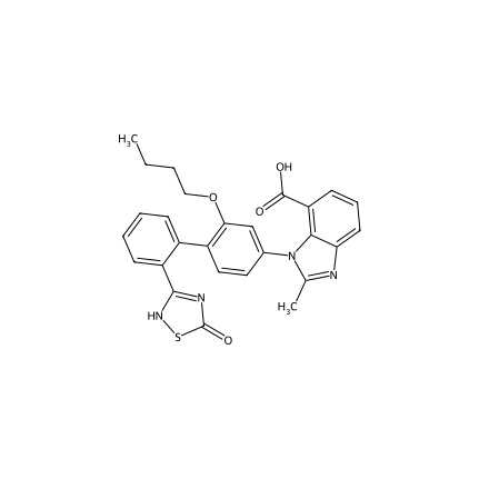 CCCCOc1cc(-n2c(C)nc3cccc(C(=O)O)c32)ccc1-c1ccccc1-c1nc(=O)s[nH]1